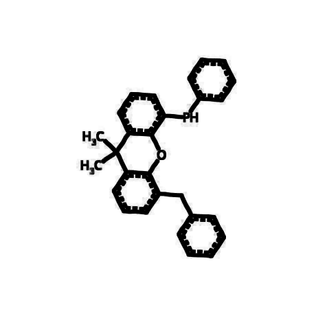 CC1(C)c2cccc(Cc3ccccc3)c2Oc2c(Pc3ccccc3)cccc21